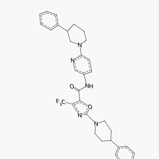 O=C(Nc1ccc(N2CCCC(c3ccccc3)C2)nc1)c1oc(N2CCC(c3ccccc3)CC2)nc1C(F)(F)F